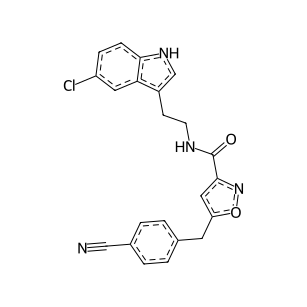 N#Cc1ccc(Cc2cc(C(=O)NCCc3c[nH]c4ccc(Cl)cc34)no2)cc1